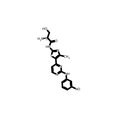 Cc1nc(NC(=O)[C@@H](N)CO)sc1-c1ccnc(Nc2cccc(N=O)c2)n1